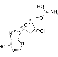 NP(O)OC[C@H]1O[C@@H](n2cnc3c(O)ncnc32)C[C@@H]1O